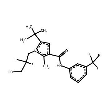 Cc1c(C(=O)Nc2cccc(C(F)(F)F)c2)cc(C(C)(C)C)n1CC(F)(F)CO